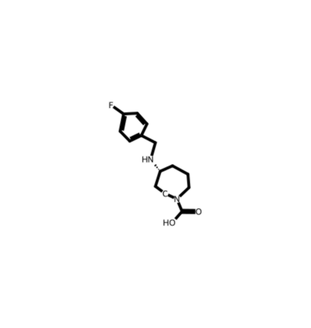 O=C(O)N1CCC[C@@H](NCc2ccc(F)cc2)CC1